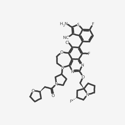 N#Cc1c(N)sc2c(F)ccc(-c3c(Cl)c4c5c(nc(OC[C@@]67CCCN6C[C@H](F)C7)nc5c3F)N(C3CCN(C(=O)C[C@H]5CCCO5)C3)CCO4)c12